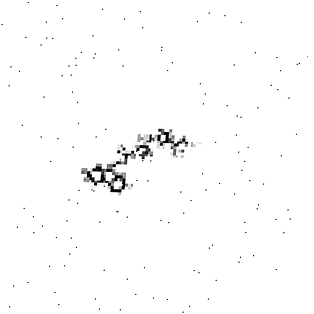 CCC/C=C(\CC)c1csc(NC(=O)CNC(=O)OCC2c3ccccc3-c3ccccc32)n1